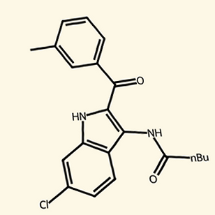 CCCCC(=O)Nc1c(C(=O)c2cccc(C)c2)[nH]c2cc(Cl)ccc12